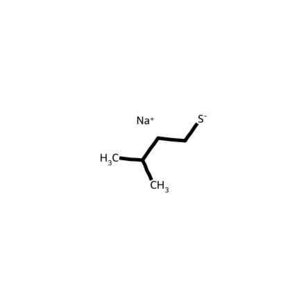 CC(C)CC[S-].[Na+]